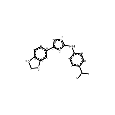 CN(C)c1ccc(Nc2nc(-c3ccc4c(c3)OCO4)cs2)cc1